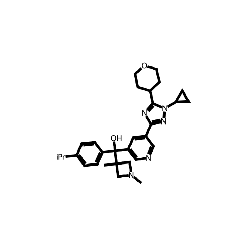 CC(C)c1ccc(C(O)(c2cncc(-c3nc(C4CCOCC4)n(C4CC4)n3)c2)C2(C)CN(C)C2)cc1